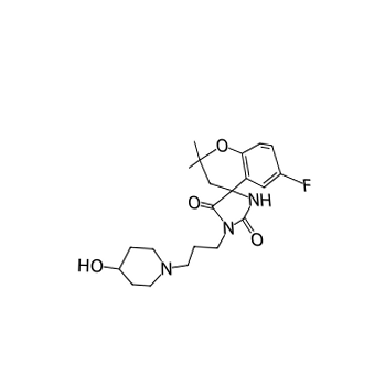 CC1(C)CC2(NC(=O)N(CCCN3CCC(O)CC3)C2=O)c2cc(F)ccc2O1